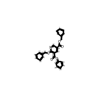 O=C(OCc1ccccc1)c1cnc(OCc2ccccc2)c(C(=O)Oc2ccccc2)c1